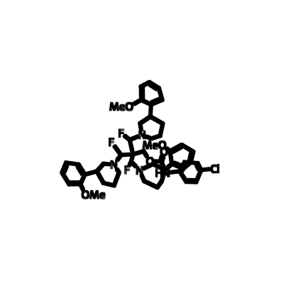 COc1ccccc1C1CCCN(C(F)C(COC(=O)Nc2ccc(Cl)cc2)(C(F)N2CCCC(c3ccccc3OC)C2)C(F)N2CCCC(c3ccccc3OC)C2)C1